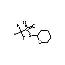 O=S(=O)(SC1CCCCO1)C(F)(F)F